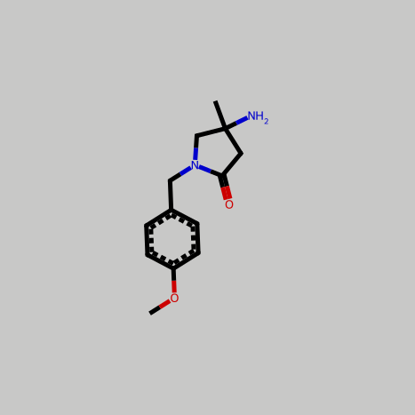 COc1ccc(CN2CC(C)(N)CC2=O)cc1